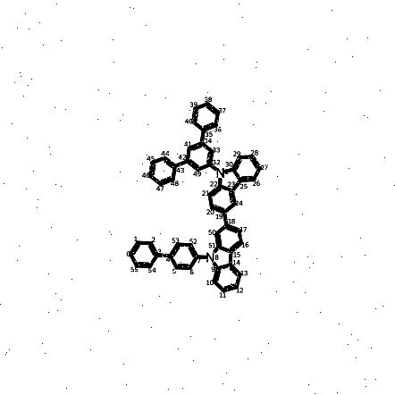 c1ccc(-c2ccc(-n3c4ccccc4c4ccc(-c5ccc6c(c5)c5ccccc5n6-c5cc(-c6ccccc6)cc(-c6ccccc6)c5)cc43)cc2)cc1